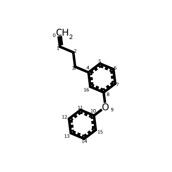 C=CC[CH]c1cccc(Oc2ccccc2)c1